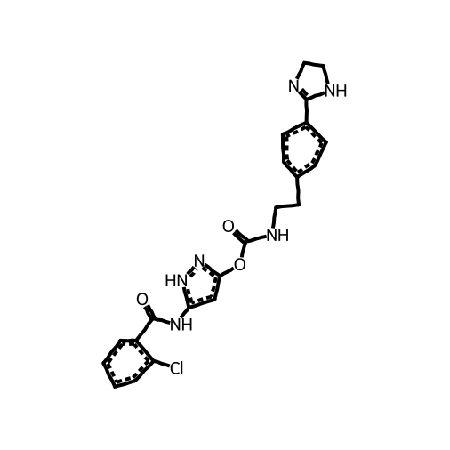 O=C(NCCc1ccc(C2=NCCN2)cc1)Oc1cc(NC(=O)c2ccccc2Cl)[nH]n1